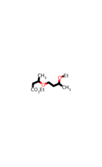 CCOC(=O)CC(C)OCCC(C)OCC